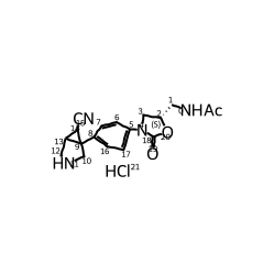 CC(=O)NC[C@H]1CN(c2ccc(C34CNCC3C4C#N)cc2)C(=O)O1.Cl